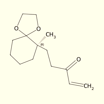 C=CC(=O)CC[C@@]1(C)CCCCC12OCCO2